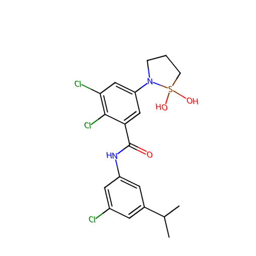 CC(C)c1cc(Cl)cc(NC(=O)c2cc(N3CCCS3(O)O)cc(Cl)c2Cl)c1